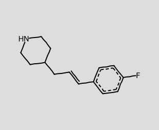 Fc1ccc(/C=C/CC2CCNCC2)cc1